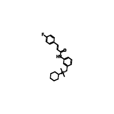 C[N+](C)(Cc1cccc(NC(=O)/C=C/c2ccc(F)cc2)c1)C1CCCCC1